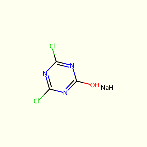 Oc1nc(Cl)nc(Cl)n1.[NaH]